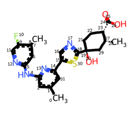 Cc1cc(Nc2cc(C)c(F)cn2)nc(-c2cnc([C@]3(O)CC[C@H](C(=O)O)[C@H](C)C3)s2)c1